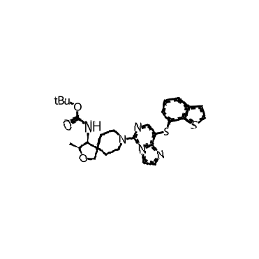 C[C@@H]1OCC2(CCN(c3ncc(Sc4cccc5ccsc45)c4nccn34)CC2)[C@@H]1NC(=O)OC(C)(C)C